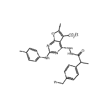 CCOC(=O)c1c(C)oc2nc(Nc3ccc(C)cc3)nc(NNC(=O)C(C)c3ccc(CC(C)C)cc3)c12